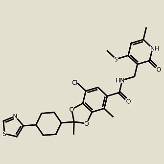 CSc1cc(C)[nH]c(=O)c1CNC(=O)c1cc(Cl)c2c(c1C)OC(C)(C1CCC(c3cscn3)CC1)O2